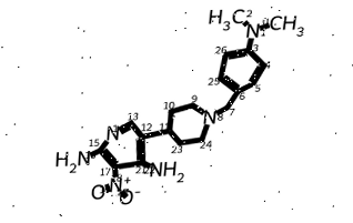 CN(C)c1ccc(CN2CCC(c3cnc(N)c([N+](=O)[O-])c3N)CC2)cc1